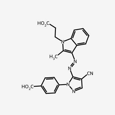 Cc1c(N=Nc2c(C#N)cnn2-c2ccc(C(=O)O)cc2)c2ccccc2n1CCC(=O)O